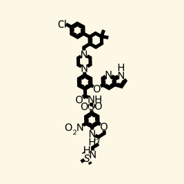 CC1(C)CCC(CN2CCN(c3ccc(C(=O)NS(=O)(=O)c4cc5c(c([N+](=O)[O-])c4)N[C@@H](CCN=[SH](C)(C)C)CO5)c(Oc4cnc5[nH]ccc5c4)c3)CC2)=C(c2ccc(Cl)cc2)C1